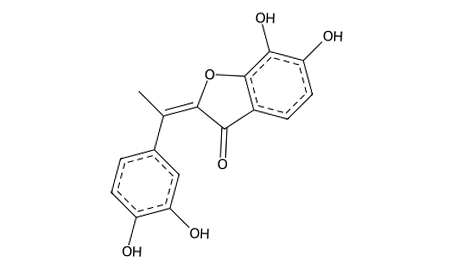 C/C(=C1\Oc2c(ccc(O)c2O)C1=O)c1ccc(O)c(O)c1